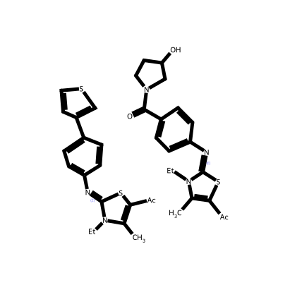 CCn1c(C)c(C(C)=O)s/c1=N/c1ccc(C(=O)N2CCC(O)C2)cc1.CCn1c(C)c(C(C)=O)s/c1=N\c1ccc(-c2ccsc2)cc1